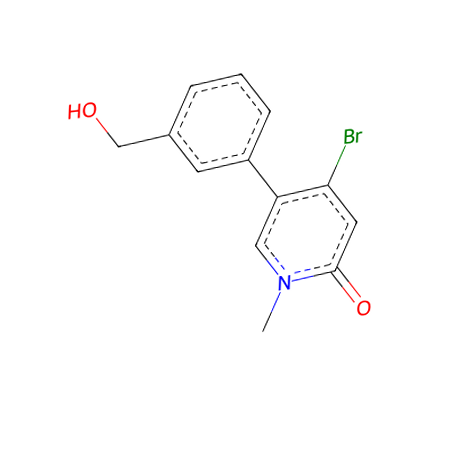 Cn1cc(-c2cccc(CO)c2)c(Br)cc1=O